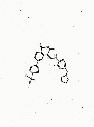 O=C1NC(=O)c2ccc(-c3ccc(C(F)(F)F)cc3)cc2/C1=C/Nc1ccc(CN2CCCC2)cc1